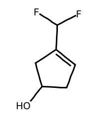 OC1CC=C(C(F)F)C1